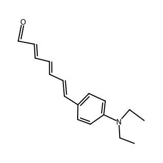 CCN(CC)c1ccc(/C=C/C=C/C=C/C=O)cc1